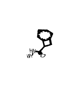 CC(C)NC(=O)C1Cc2ccccc21